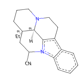 CC[C@@]12CCCN3CCc4c(n(c5ccccc45)C(C#N)C1)[C@H]32